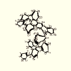 c1ccc(-c2cccc([Si](c3ccccc3)(c3ccccc3)c3ccc(-n4c5ccccc5c5cc(-c6cccc7c8ccccc8n(-c8ccccc8-c8ccccc8)c67)ccc54)cc3)c2)cc1